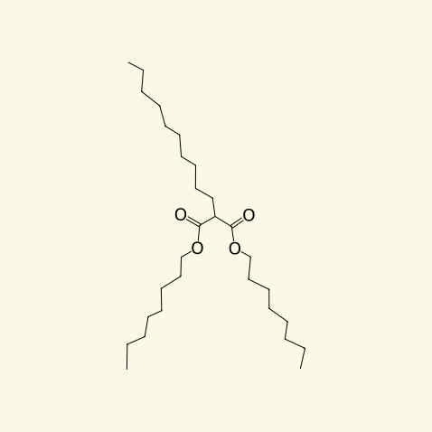 CCCCCCCCCCC(C(=O)OCCCCCCCC)C(=O)OCCCCCCCC